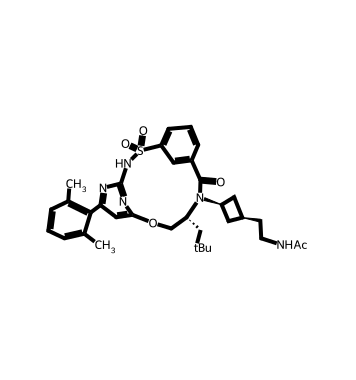 CC(=O)NCC[C@H]1C[C@@H](N2C(=O)c3cccc(c3)S(=O)(=O)Nc3nc(cc(-c4c(C)cccc4C)n3)OC[C@H]2CC(C)(C)C)C1